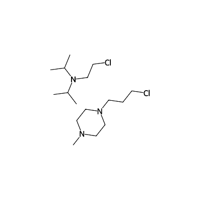 CC(C)N(CCCl)C(C)C.CN1CCN(CCCCl)CC1